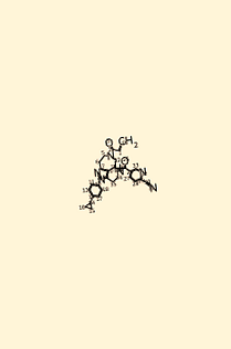 C=CC(=O)N1CCc2nn(-c3ccc(C4CC4)cc3)c3c2[C@@H](C1)N(C(=O)c1ccc(C#N)nc1)CC3